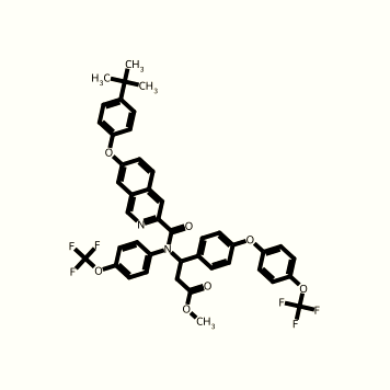 COC(=O)CC(c1ccc(Oc2ccc(OC(F)(F)F)cc2)cc1)N(C(=O)c1cc2ccc(Oc3ccc(C(C)(C)C)cc3)cc2cn1)c1ccc(OC(F)(F)F)cc1